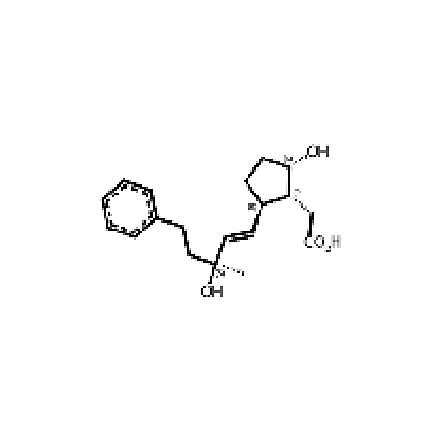 C[C@@](O)(C=C[C@H]1CC[C@H](O)[C@@H]1CC(=O)O)CCc1ccccc1